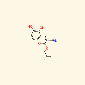 CC(C)COC(=O)C(C#N)=Cc1cccc(O)c1O